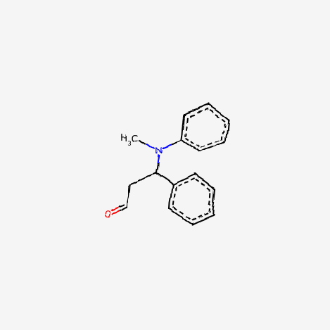 CN(c1ccccc1)C(CC=O)c1ccccc1